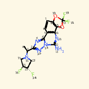 CC(c1nc2c3ccc4c(c3nc(N)n2n1)OC(F)(F)O4)N1C[C@H](F)[C@@H](F)C1